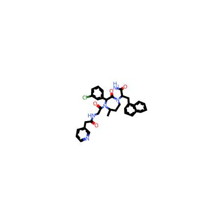 CC1CCN(C(Cc2cccc3ccccc23)C(N)=O)C(=O)C(c2cccc(Cl)c2)N1C(=O)CNC(=O)Cc1cccnc1